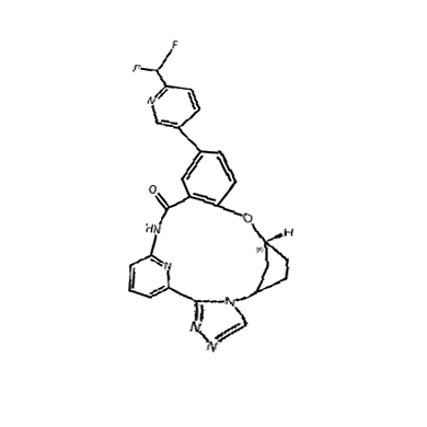 O=C1Nc2cccc(n2)-c2nncn2C2CC[C@H](C2)Oc2ccc(-c3ccc(C(F)F)nc3)cc21